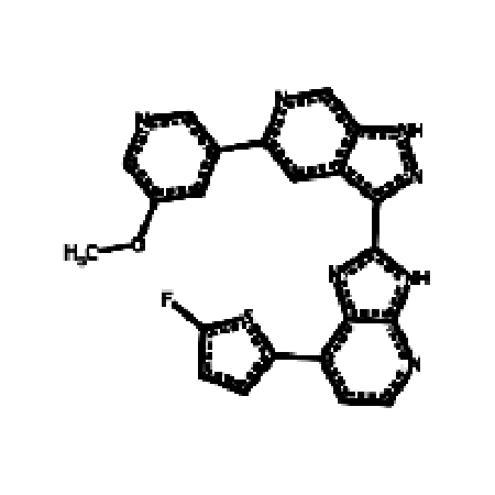 COc1cncc(-c2cc3c(-c4nc5c(-c6ccc(F)s6)ccnc5[nH]4)n[nH]c3cn2)c1